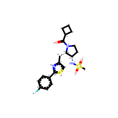 CS(=O)(=O)N[C@H]1CCN(C(=O)C2CCC2)[C@H]1Cc1csc(-c2ccc(F)cc2)n1